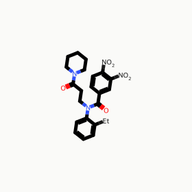 CCc1ccccc1N(CCC(=O)N1CCCCC1)C(=O)c1ccc([N+](=O)[O-])c([N+](=O)[O-])c1